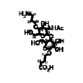 CC(=O)NC1C(OC2C(CO)OC(OCCCC(=O)O)C(O)C2O)OC(CO)C(OCCCN)C1O